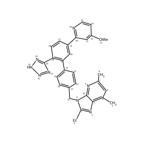 CCc1nc2c(C)cc(C)nc2n1Cc1ccc(-c2cc(-c3cc(OC)ccn3)ccc2-c2nn[nH]n2)cc1